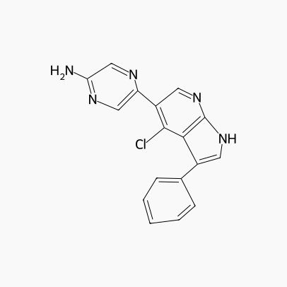 Nc1cnc(-c2cnc3[nH]cc(-c4ccccc4)c3c2Cl)cn1